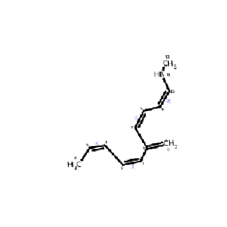 C=C(/C=C\C=C/C)/C=C\C=C/BC